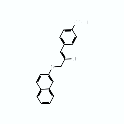 CC(=Cc1ccc(C(=O)O)cc1)CNc1ccc2ccccc2c1